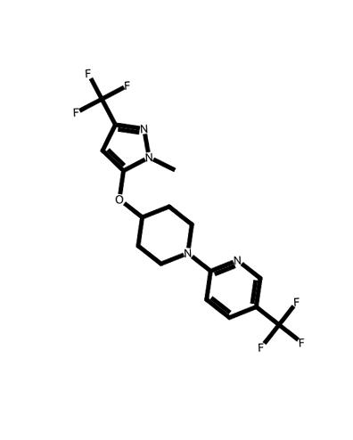 Cn1nc(C(F)(F)F)cc1OC1CCN(c2ccc(C(F)(F)F)cn2)CC1